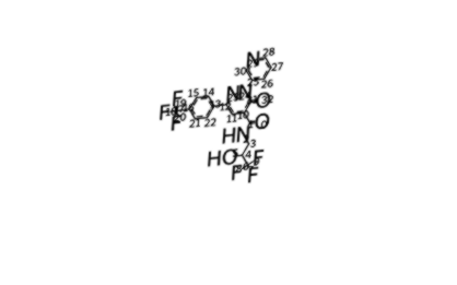 O=C(NCC(O)C(F)(F)F)c1cc(-c2ccc(C(F)(F)F)cc2)nn(-c2cccnc2)c1=O